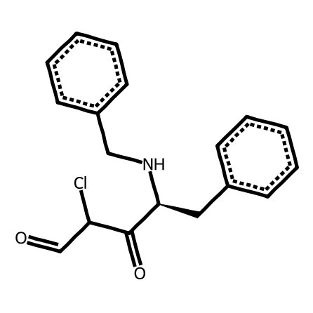 O=CC(Cl)C(=O)[C@H](Cc1ccccc1)NCc1ccccc1